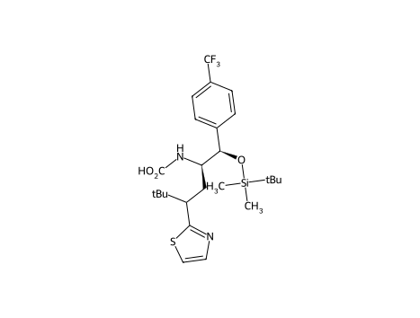 CC(C)(C)C(C[C@@H](NC(=O)O)[C@H](O[Si](C)(C)C(C)(C)C)c1ccc(C(F)(F)F)cc1)c1nccs1